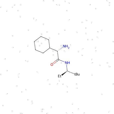 CC[C@@H](NC(=O)[C@@H](N)C1CCCCC1)C(C)(C)C